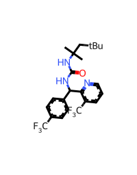 CC(C)(C)CC(C)(C)NC(=O)NC(c1ccc(C(F)(F)F)cc1)c1ncccc1C(F)(F)F